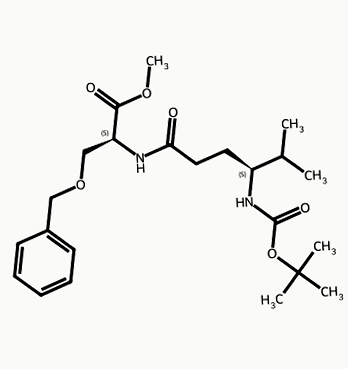 COC(=O)[C@H](COCc1ccccc1)NC(=O)CC[C@H](NC(=O)OC(C)(C)C)C(C)C